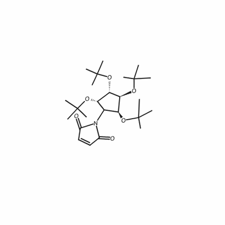 CC(C)(C)O[C@@H]1[C@@H](OC(C)(C)C)[C@@H](OC(C)(C)C)C(N2C(=O)C=CC2=O)[C@@H]1OC(C)(C)C